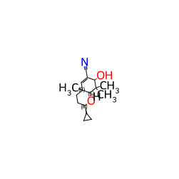 CC1(C)C(O)C(C#N)=C[C@@]2(C)CC[C@H](C3CC3)O[C@H]12